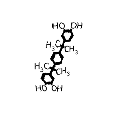 CC(C)(c1ccc(C(C)(C)c2ccc(O)c(O)c2)cc1)c1ccc(O)c(O)c1